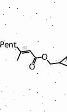 CCCC(C)/C(C)=C/C(=O)OCC1CC1